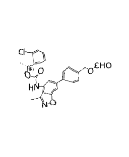 Cc1noc2cc(-c3ccc(COC=O)cc3)cc(NC(=O)O[C@H](C)c3ccccc3Cl)c12